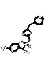 CC(c1ccc(C(F)(F)F)nc1)S(=N)(=O)Cc1ncc(Cc2ccccc2)s1